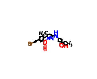 Cc1cc(NC2CC(C)(O)C2)nnc1-c1ccc(C#CBr)cc1O